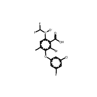 Cc1cc([S+]([O-])C(F)F)c(C(=O)O)c(Br)c1Oc1cc(F)cc(Cl)c1